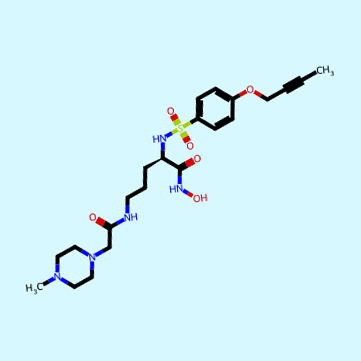 CC#CCOc1ccc(S(=O)(=O)N[C@H](CCCNC(=O)CN2CCN(C)CC2)C(=O)NO)cc1